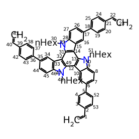 C=Cc1ccc(-c2ccc3c(c2)c2c(c4c5cc(-c6ccc(C=C)cc6)ccc5n(CCCCCC)c4c4c5cc(-c6ccc(C=C)cc6)ccc5n(CCCCCC)c24)n3CCCCCC)cc1